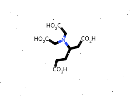 O=C(O)CCC(CC(=O)O)N(CC(=O)O)CC(=O)O